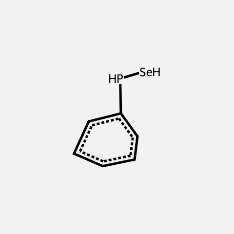 [SeH]Pc1ccccc1